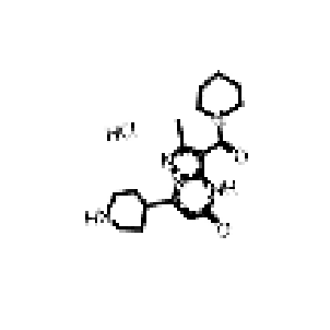 Cc1nn2c(C3CCNCC3)cc(=O)[nH]c2c1C(=O)N1CCCCC1.Cl